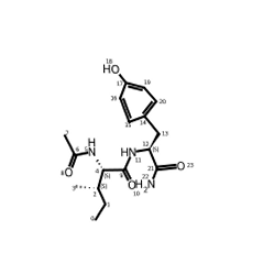 CC[C@H](C)[C@H](NC(C)=O)C(=O)N[C@@H](Cc1ccc(O)cc1)C(N)=O